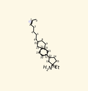 C/C=C\CCCC[C@H]1CCc2cc([C@H]3CC[C@](N)(CC)C3)ccc2C1